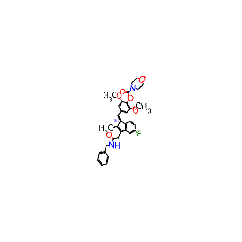 COc1cc(/C=C2/C(C)=C(CC(=O)NCc3ccccc3)c3cc(F)ccc32)cc(OC)c1OC(=O)N1CCOCC1